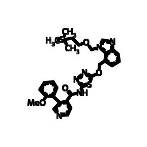 COc1ccccc1-c1cnccc1C(=O)Nc1nnc(OCc2cccc3ncn(COCC[Si](C)(C)C)c23)s1